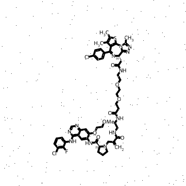 C=C(CN1CCC[C@H]1C(=O)Nc1cc2c(Nc3cccc(Cl)c3F)ncnc2cc1OCCOC)C(=O)NCCNC(=O)CCOCCOCCNC(=O)C[C@@H]1N=C(c2ccc(Cl)cc2)c2c(sc(C)c2C)-n2c(C)nnc21